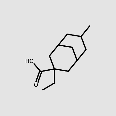 CCC1(C(=O)O)CC2CC(C)CC(C2)C1